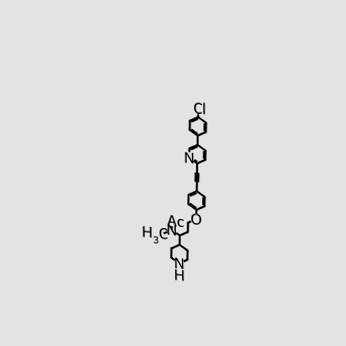 CC(=O)N(C)C(CCOc1ccc(C#Cc2ccc(-c3ccc(Cl)cc3)cn2)cc1)C1CCNCC1